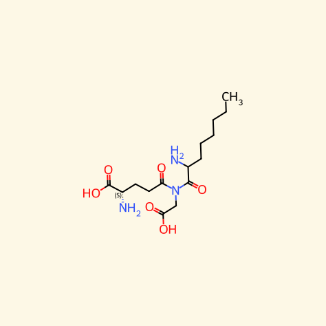 CCCCCCC(N)C(=O)N(CC(=O)O)C(=O)CC[C@H](N)C(=O)O